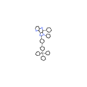 c1ccc(-c2nc3cccnc3c3nc(-c4ccc(-c5ccc([Si](c6ccccc6)(c6ccccc6)c6ccccc6)cc5)cc4)n(-c4ccccc4)c23)cc1